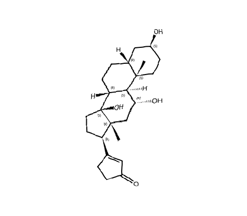 C[C@]12CC[C@H](O)C[C@H]1CC[C@@H]1[C@@H]2[C@H](O)C[C@]2(C)[C@@H](C3=CC(=O)CC3)CC[C@]12O